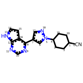 N#CC1CCC(n2cc(-c3ncnc4[nH]ccc34)cn2)CC1